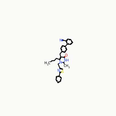 CCCCC1=C(Cc2ccc(-c3ccccc3C#N)cc2)C(=O)NC(C)N1Cc1csc(-c2ccccc2)n1